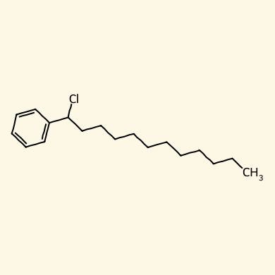 CCCCCCCCCCCC(Cl)c1ccccc1